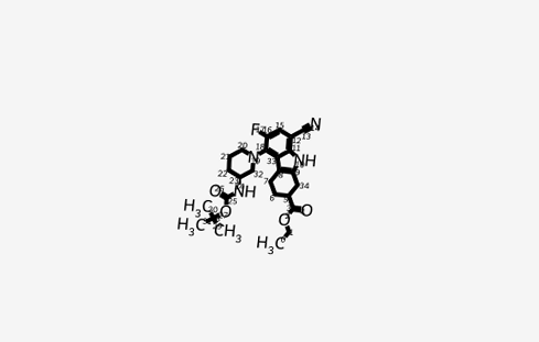 CCOC(=O)C1CCc2c([nH]c3c(C#N)cc(F)c(N4CCC[C@H](NC(=O)OC(C)(C)C)C4)c23)C1